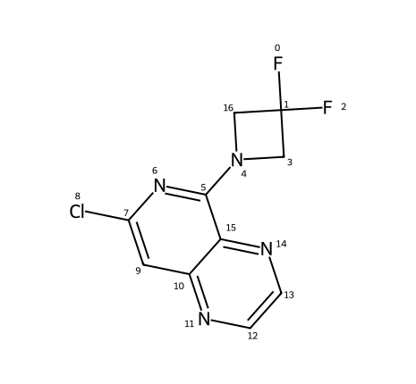 FC1(F)CN(c2nc(Cl)cc3nccnc23)C1